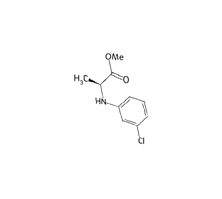 COC(=O)[C@H](C)Nc1cccc(Cl)c1